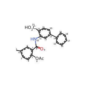 CC(=O)Oc1ccc(C)cc1C(=O)Nc1cc(-c2ccccc2)ccc1C(=O)O